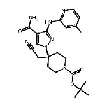 CC(C)(C)OC(=O)N1CCC(CC#N)(n2cc(C(N)=O)c(Nc3cc(F)ccn3)n2)CC1